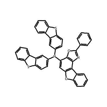 c1ccc(-c2nc3c(o2)c(N(c2ccc4sc5ccccc5c4c2)c2ccc4sc5ccccc5c4c2)cc2oc4ccccc4c23)cc1